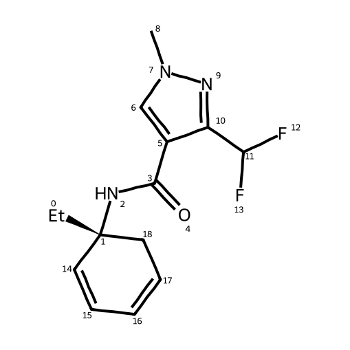 CC[C@]1(NC(=O)c2cn(C)nc2C(F)F)C=CC=CC1